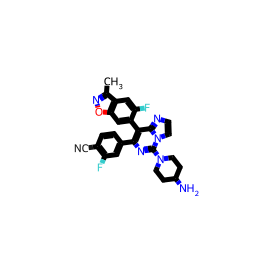 Cc1noc2cc(-c3c(-c4ccc(C#N)c(F)c4)nc(N4CCC(N)CC4)n4ccnc34)c(F)cc12